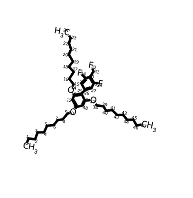 CCCCCCCCCCOc1cc(OCCCCCCCCCC)c(-c2cc(F)c(CF)c(F)c2)c(OCCCCCCCCCC)c1